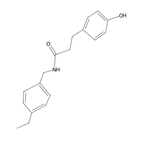 CCc1ccc(CNC(=O)CCc2ccc(O)cc2)cc1